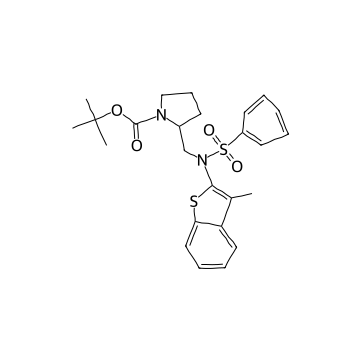 Cc1c(N(CC2CCCN2C(=O)OC(C)(C)C)S(=O)(=O)c2ccccc2)sc2ccccc12